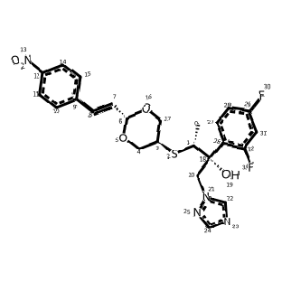 C[C@@H](S[C@H]1CO[C@H](/C=C/c2ccc([N+](=O)[O-])cc2)OC1)[C@](O)(Cn1cncn1)c1ccc(F)cc1F